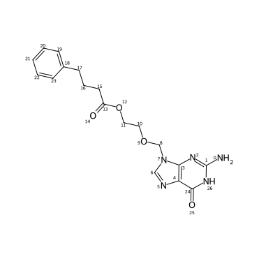 Nc1nc2c(ncn2COCCOC(=O)CCCc2ccccc2)c(=O)[nH]1